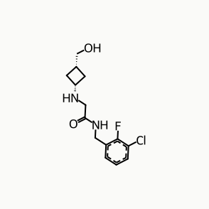 O=C(CN[C@H]1C[C@@H](CO)C1)NCc1cccc(Cl)c1F